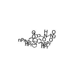 CCCN(CCC)c1ccc2c(c1)[Si]1(CCCCC1)c1cc(N(CCC)CCC)ccc1C21OC(=O)c2ccc(C(=O)NCCN3C(=O)C=CC3=O)cc21